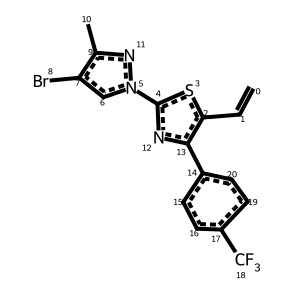 C=Cc1sc(-n2cc(Br)c(C)n2)nc1-c1ccc(C(F)(F)F)cc1